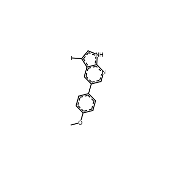 COc1ccc(-c2cnc3[nH]cc(I)c3c2)cc1